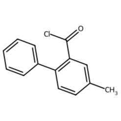 Cc1ccc(-c2ccccc2)c(C(=O)Cl)c1